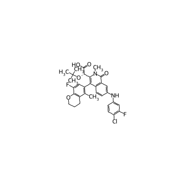 Cc1c(-c2c([C@H](OC(C)(C)C)C(=O)O)n(C)c(=O)c3cc(Nc4ccc(Cl)c(F)c4)ccc23)cc(F)c2c1CCCO2